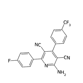 N#Cc1c(N)nc(-c2ccc(F)cc2)c(C#N)c1-c1ccc(C(F)(F)F)cc1